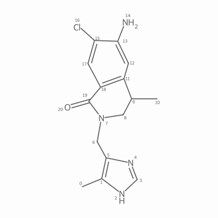 Cc1[nH]cnc1CN1CC(C)c2cc(N)c(Cl)cc2C1=O